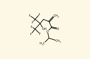 C=C(CC(O)(C(F)(F)F)C(F)(F)F)C(=O)OC(C)C